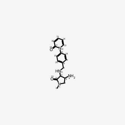 CN1CC(N)C(NCc2ccc(-n3ccccc3=O)cc2)C1=O